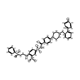 O=C(NS(=O)(=O)c1ccc(NCCS(=O)(=O)c2ccccc2)c([N+](=O)[O-])c1)c1ccc(N2CCN(Cc3ccccc3-c3ccc(Cl)cc3)CC2)cc1